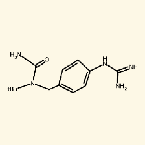 CC(C)(C)N(Cc1ccc(NC(=N)N)cc1)C(N)=O